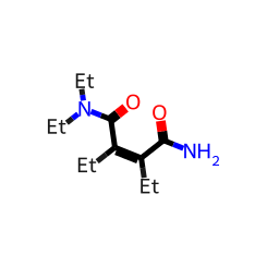 CC/C(C(N)=O)=C(\CC)C(=O)N(CC)CC